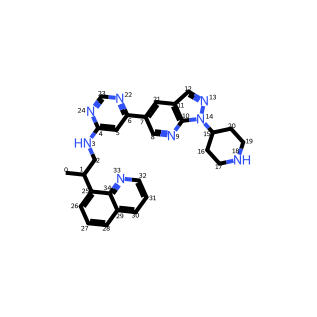 CC(CNc1cc(-c2cnc3c(cnn3C3CCNCC3)c2)ncn1)c1cccc2cccnc12